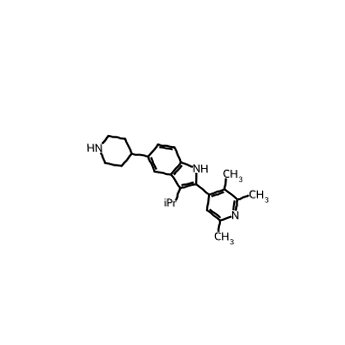 Cc1cc(-c2[nH]c3ccc(C4CCNCC4)cc3c2C(C)C)c(C)c(C)n1